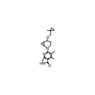 Cc1c(N2CCC(OCC3(C)CC3)C3CC32)nc2c(c1C)C(=O)NC2